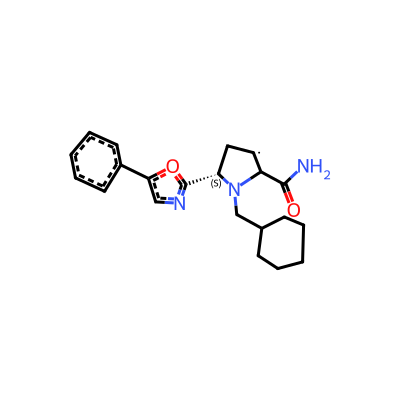 NC(=O)C1[CH]C[C@@H](c2ncc(-c3ccccc3)o2)N1CC1CCCCC1